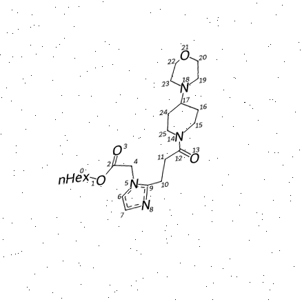 CCCCCCOC(=O)Cn1ccnc1CCC(=O)N1CCC(N2CCOCC2)CC1